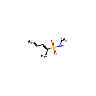 C=C/C=C(\C)S(=O)(=O)NC